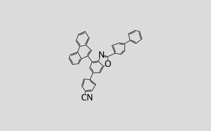 N#Cc1ccc(-c2cc(-c3cc4ccccc4c4ccccc34)c3nc(-c4ccc(-c5ccccc5)cc4)oc3c2)cc1